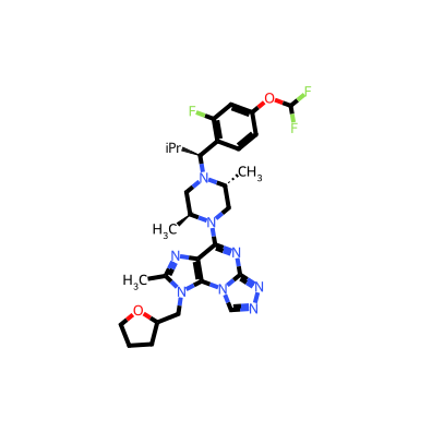 Cc1nc2c(N3C[C@@H](C)N([C@H](c4ccc(OC(F)F)cc4F)C(C)C)C[C@@H]3C)nc3nncn3c2n1CC1CCCO1